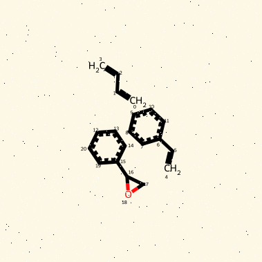 C=CC=C.C=Cc1ccccc1.c1ccc(C2CO2)cc1